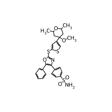 COC1(c2csc(Sc3nc(-c4ccc(S(N)(=O)=O)cc4)c(-c4ccccc4)o3)c2)CC(C)OC(C)C1